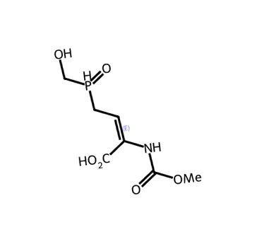 COC(=O)N/C(=C/C[PH](=O)CO)C(=O)O